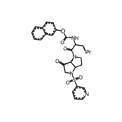 CC(C)CC(NC(=O)Oc1ccc2ccccc2c1)C(=O)N1CCC2C1C(=O)CN2S(=O)(=O)c1cccnc1